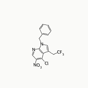 O=[N+]([O-])c1cnc2c(c(CC(F)(F)F)cn2Cc2ccccc2)c1Cl